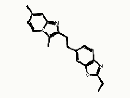 CCc1nc2ccc(CCc3nc4cc(C)ccn4c3C)cc2o1